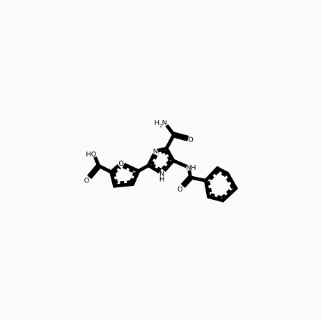 NC(=O)c1nc(-c2ccc(C(=O)O)o2)[nH]c1NC(=O)c1ccccc1